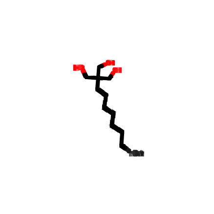 CCCCCCCCCCCCCCCC(CO)(CO)CO